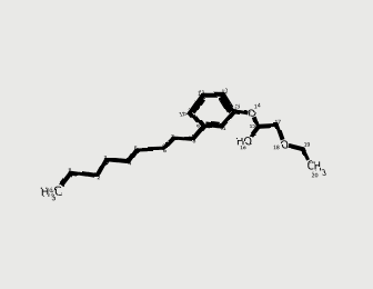 CCCCCCCCCc1cccc(OC(O)COCC)c1